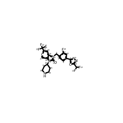 O=c1n(Cc2ccc(-c3nnc(C(F)F)o3)cc2F)c2cc(C(F)(F)F)ccc2n1C1CCNCC1